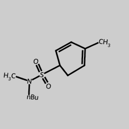 CCCCN(C)S(=O)(=O)C1C=CC(C)=CC1